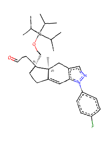 CC(C)[Si](OC[C@@]1(CC=O)CCC2=Cc3c(cnn3-c3ccc(F)cc3)C[C@@]21C)(C(C)C)C(C)C